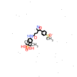 CCC(CC)(c1ccc(NC(=O)CCc2cnoc2-c2ccc([S+](C)[O-])cc2)cc1)P(=O)(O)O